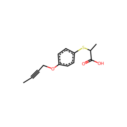 CC#CCOc1ccc(SC(C)C(=O)O)cc1